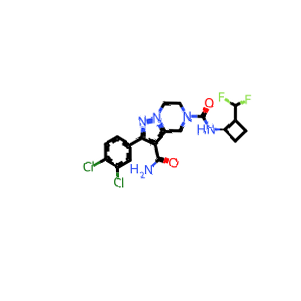 NC(=O)c1c(-c2ccc(Cl)c(Cl)c2)nn2c1CN(C(=O)N[C@@H]1CCC1C(F)F)CC2